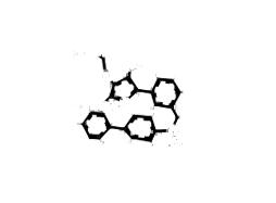 CC(=O)N(Cc1cccc(-c2sc(C(=O)O)c(OCC(=O)O)c2C)c1)c1ccc(-c2ccccc2)cc1